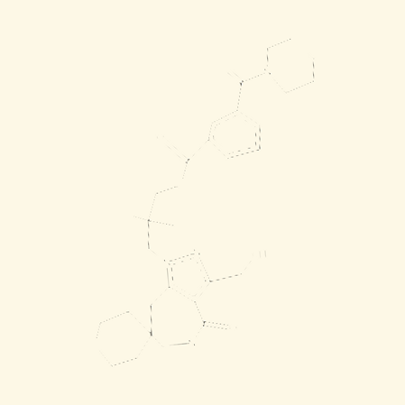 CCc1nn(CC(C)(C)COC(=O)c2cccc(C(=O)N3CCCCC3)c2)c2c1C(=O)NCC1(CCOCC1)C2